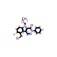 COCn1c2ccc(F)c(CBr)c2c2cnn(-c3ccccc3)c(=O)c21